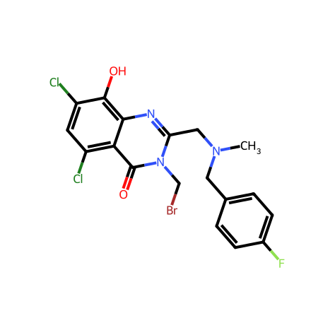 CN(Cc1ccc(F)cc1)Cc1nc2c(O)c(Cl)cc(Cl)c2c(=O)n1CBr